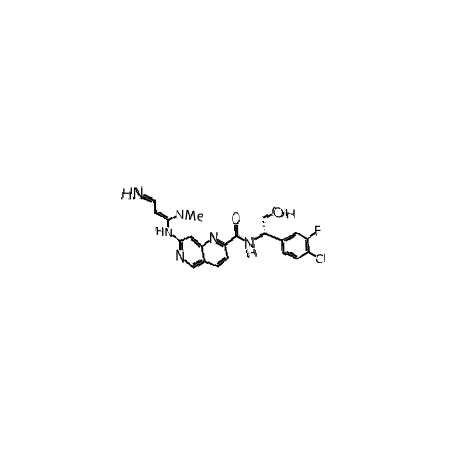 CN/C(=C\C=N)Nc1cc2nc(C(=O)N[C@H](CO)c3ccc(Cl)c(F)c3)ccc2cn1